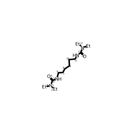 CCN(CC)C(=O)NCCCCCCNC(=O)N(CC)CC